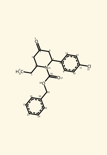 CCC1CC(=O)CC(c2ccc(Cl)cc2)N1C(=O)OCc1ccccc1